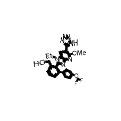 CCn1c(-c2c(CO)cccc2-c2ccc(OC(F)F)cc2)nc2nc(OC)c(-c3nnn[nH]3)cc21